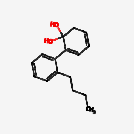 CCCCc1ccccc1C1=CC=CCC1(O)O